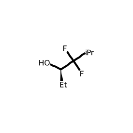 CC[C@@H](O)C(F)(F)C(C)C